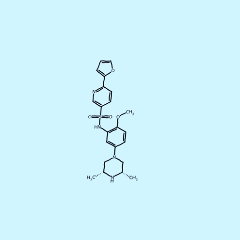 COc1ccc(N2C[C@@H](C)N[C@@H](C)C2)cc1NS(=O)(=O)c1ccc(-c2ccco2)nc1